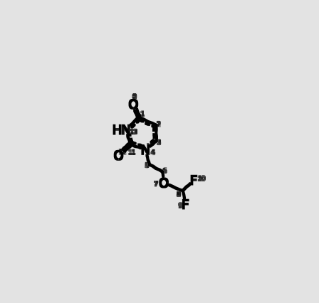 O=c1ccn(CCOC(F)F)c(=O)[nH]1